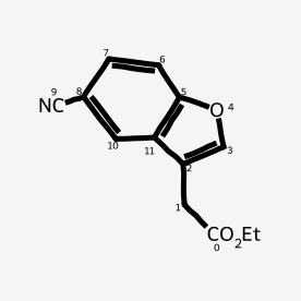 CCOC(=O)Cc1coc2ccc(C#N)cc12